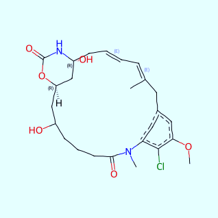 COc1cc2cc(c1Cl)N(C)C(=O)CCCC(O)C[C@@H]1C[C@](O)(C/C=C/C=C(\C)C2)NC(=O)O1